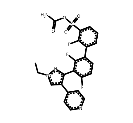 CCn1cc(-c2ccncc2)c(-c2c(F)ccc(-c3cccc(S(=O)(=O)OC(N)=O)c3F)c2F)n1